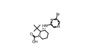 CC(C)(C)C1[C@H](Nc2cncc(Br)n2)CCCN1C(=O)O